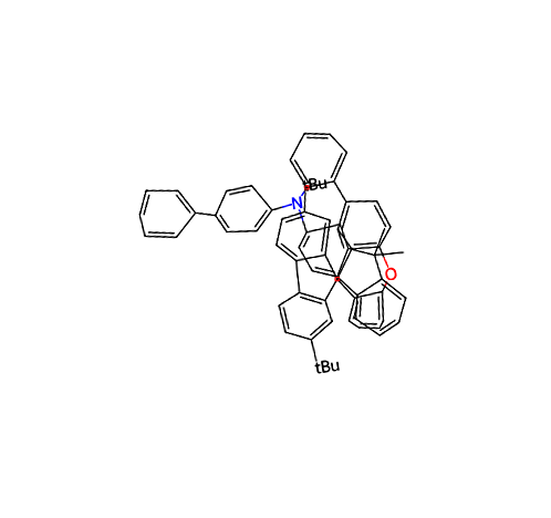 CC(C)(C)c1ccc2c(c1)C1(c3ccccc3Oc3ccc(-c4ccccc4N(c4ccc(-c5ccccc5)cc4)c4ccc5c(c4)C(C)(C)c4ccccc4-5)cc31)c1cc(C(C)(C)C)ccc1-2